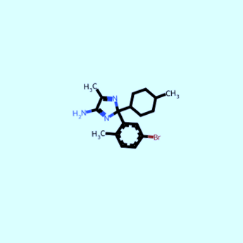 CC1=NC(c2cc(Br)ccc2C)(C2CCC(C)CC2)N=C1N